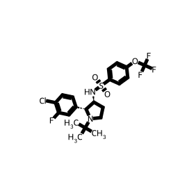 CC(C)(C)N1CC[C@@H](NS(=O)(=O)c2ccc(OC(F)(F)F)cc2)[C@H]1c1ccc(Cl)c(F)c1